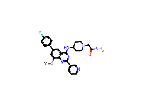 COc1cc(-c2ccc(F)cc2)cc2c(NC3CCN(CC(N)=O)CC3)nc(-c3cccnc3)nc12